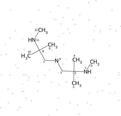 CNC(C)(C)C[N]CC(C)(C)NC